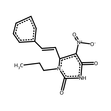 CCCn1c(C=Cc2ccccc2)c([N+](=O)[O-])c(=O)[nH]c1=O